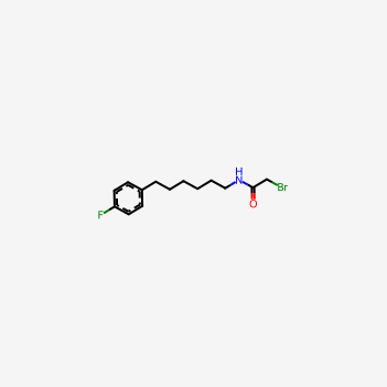 O=C(CBr)NCCCCCCc1ccc(F)cc1